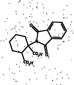 O=C(O)C1CCCCC1(C(=O)O)N1C(=O)c2ccccc2C1=O